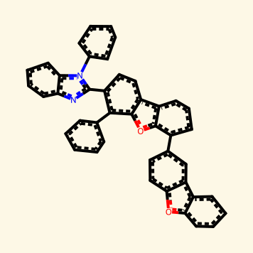 c1ccc(-c2c(-c3nc4ccccc4n3-c3ccccc3)ccc3c2oc2c(-c4ccc5oc6ccccc6c5c4)cccc23)cc1